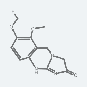 COc1c(OCF)ccc2c1CN1CC(=O)N=C1N2